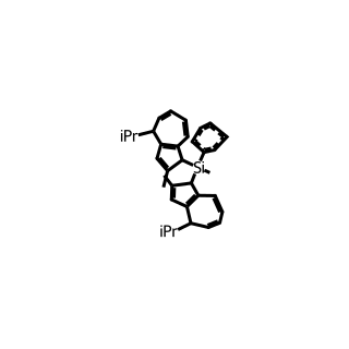 CC1=CC2=C(C=CC=CC2C(C)C)C1[Si](C)(c1ccccc1)C1C(C)=CC2=C1C=CC=CC2C(C)C